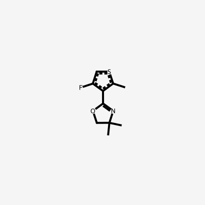 Cc1scc(F)c1C1=NC(C)(C)CO1